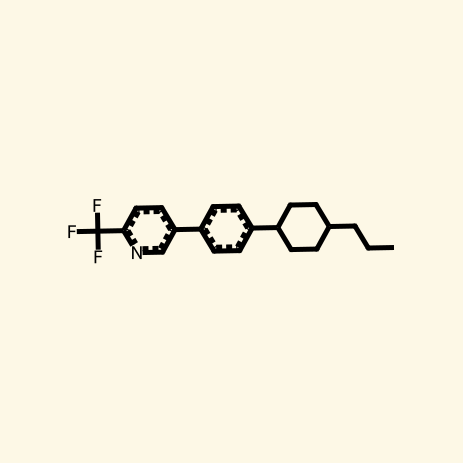 CCCC1CCC(c2ccc(-c3ccc(C(F)(F)F)nc3)cc2)CC1